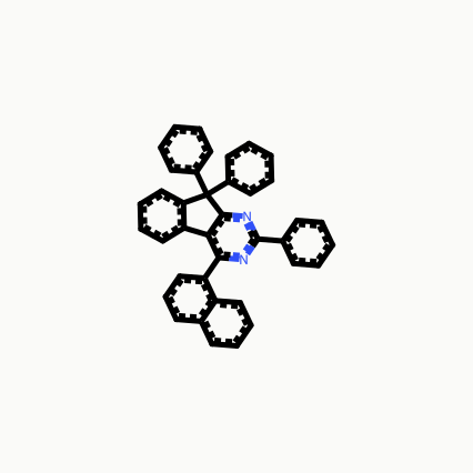 c1ccc(-c2nc(-c3cccc4ccccc34)c3c(n2)C(c2ccccc2)(c2ccccc2)c2ccccc2-3)cc1